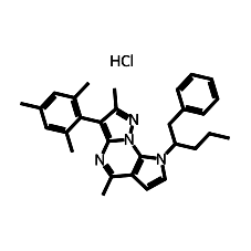 CCCC(Cc1ccccc1)n1ccc2c(C)nc3c(-c4c(C)cc(C)cc4C)c(C)nn3c21.Cl